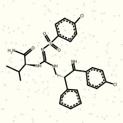 CC(C)[C@H](N/C(=N/S(=O)(=O)c1ccc(Cl)cc1)NC[C@H](C(=N)c1ccc(Cl)cc1)c1ccccc1)C(N)=O